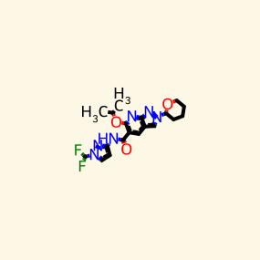 CC(C)Oc1nc2nn(C3CCCCO3)cc2cc1C(=O)Nc1ccn(C(F)F)n1